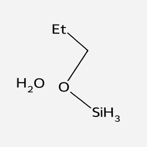 CCCO[SiH3].O